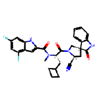 CN(C(=O)c1cc2c(F)cc(F)cc2[nH]1)[C@@H](CC1CCC1)C(=O)N1C[C@]2(C[C@H]1C#N)C(=O)Nc1ccccc12